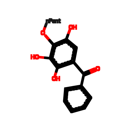 CCCCCOc1c(O)cc(C(=O)c2ccccc2)c(O)c1O